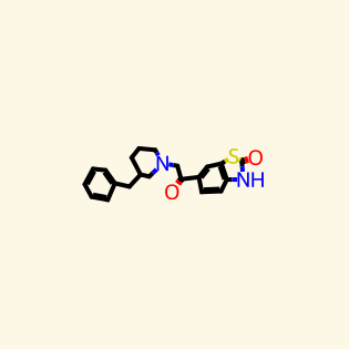 O=C(CN1CCCC(Cc2ccccc2)C1)c1ccc2[nH]c(=O)sc2c1